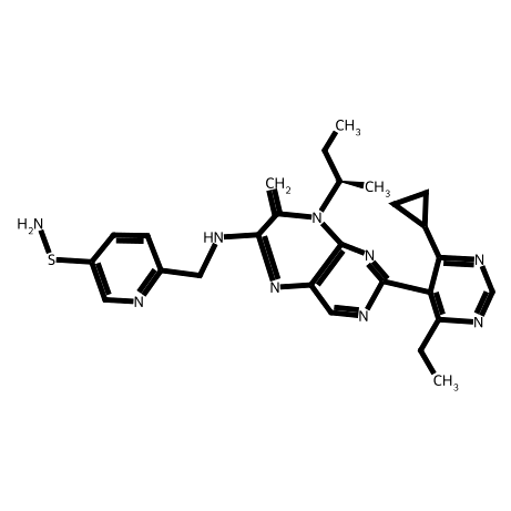 C=C1C(NCc2ccc(SN)cn2)=Nc2cnc(-c3c(CC)ncnc3C3CC3)nc2N1[C@H](C)CC